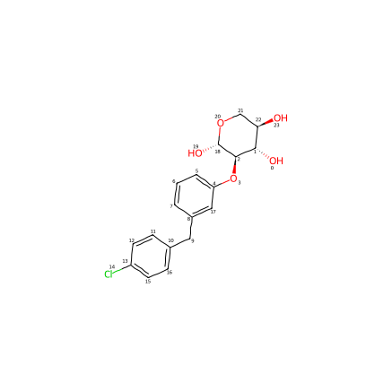 O[C@@H]1[C@@H](Oc2cccc(Cc3ccc(Cl)cc3)c2)[C@H](O)OC[C@H]1O